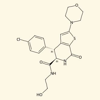 O=C1N[C@@H](C(=O)NCCO)[C@H](c2ccc(Cl)cc2)c2cc(N3CCOCC3)sc21